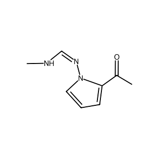 CN/C=N\n1cccc1C(C)=O